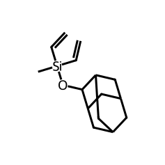 C=C[Si](C)(C=C)OC1C2CC3CC(C2)CC1C3